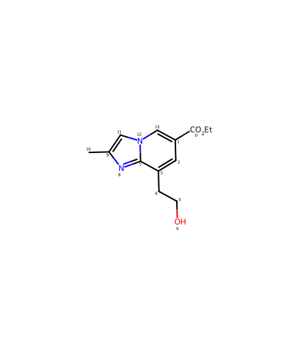 CCOC(=O)c1cc(CCO)c2nc(C)cn2c1